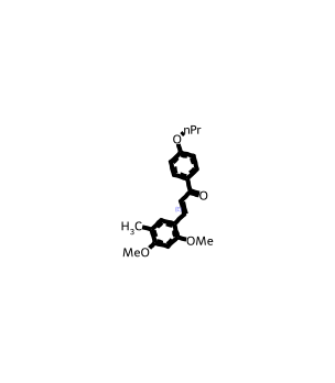 CCCOc1ccc(C(=O)/C=C/c2cc(C)c(OC)cc2OC)cc1